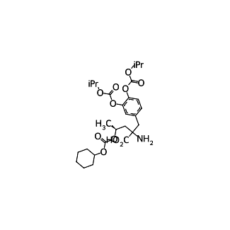 CC(C)OC(=O)Oc1ccc(CC(N)(C[C@H](C)OC(=O)OC2CCCCC2)C(=O)O)cc1OC(=O)OC(C)C